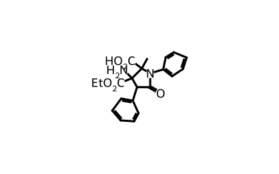 CCOC(=O)C1(N)C(c2ccccc2)C(=O)N(c2ccccc2)C1(C)C(=O)O